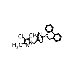 Cc1nn(Cc2nnc(SCc3ccccc3-c3ccccc3)o2)c(C)c1Cl